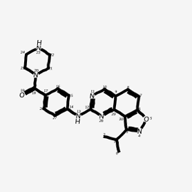 CC(C)c1noc2ccc3cnc(Nc4ccc(C(=O)N5CCNCC5)cc4)nc3c12